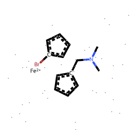 Br[c-]1cccc1.CN(C)C[c-]1cccc1.[Fe+2]